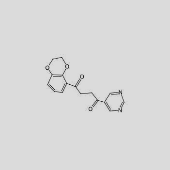 O=C(CCC(=O)c1cccc2c1OCCO2)c1cncnc1